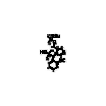 [C-]#[N+]c1ccccc1C(n1cncc1CO[Si](C)(C)C(C)(C)C)C(C)(C)O